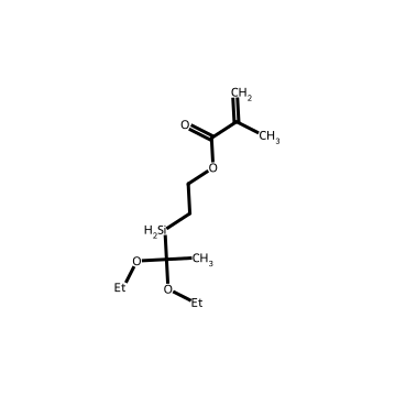 C=C(C)C(=O)OCC[SiH2]C(C)(OCC)OCC